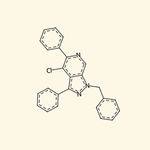 Clc1c(-c2ccccc2)ncc2c1c(-c1ccccc1)nn2Cc1ccccc1